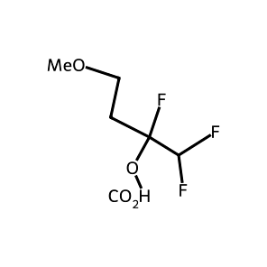 COCCC(F)(OC(=O)O)C(F)F